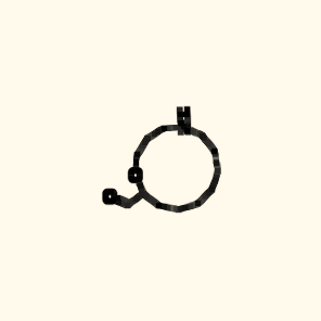 O=CC1CCCCCCCNCCCO1